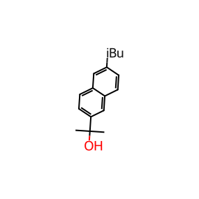 CCC(C)c1ccc2cc(C(C)(C)O)ccc2c1